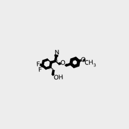 COc1ccc(COC[C@H](C#N)[C@@H]2CCC(F)(F)C[C@H]2CCO)cc1